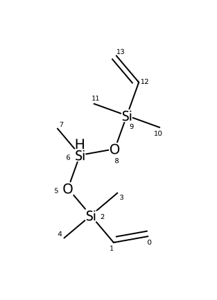 C=C[Si](C)(C)O[SiH](C)O[Si](C)(C)C=C